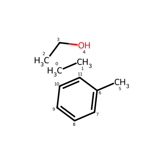 CC.CCO.Cc1ccccc1